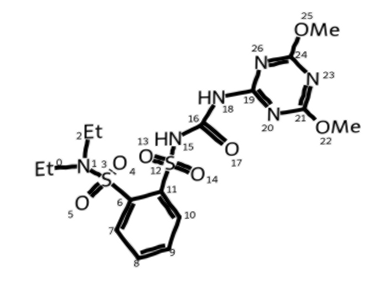 CCN(CC)S(=O)(=O)c1ccccc1S(=O)(=O)NC(=O)Nc1nc(OC)nc(OC)n1